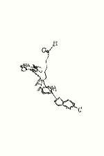 CCC(=O)CCCCC[C@H](NC(=O)OC(C)(C)C)c1ncc(-c2ccc3nc(Cl)ccc3c2)[nH]1